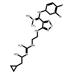 C/[N+](O)=C(/NC1C=CC(F)=C(Br)C1)c1nonc1NCCN/C(N)=N/C(O)CC1CC1